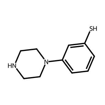 Sc1cccc(N2CCNCC2)c1